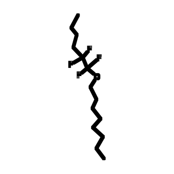 CCCCCCCCOC(F)(F)C(F)(F)CCCC